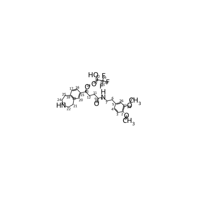 COc1ccc(CCNC(=O)CCC(=O)c2ccc3c(c2)CCNCC3)cc1OC.O=C(O)C(F)(F)F